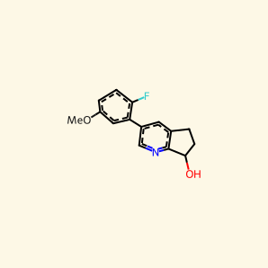 COc1ccc(F)c(-c2cnc3c(c2)CCC3O)c1